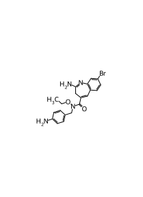 CCON(Cc1ccc(N)cc1)C(=O)C1=Cc2ccc(Br)cc2N=C(N)C1